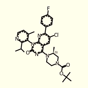 Cc1ccnc(C(C)C)c1-n1c(=O)nc(N2CCN(C(=O)OC(C)(C)C)C[C@@H]2C)c2cc(Cl)c(-c3ccc(F)cc3)nc21